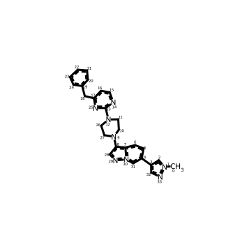 Cn1cc(-c2ccc3c(N4CCN(c5nccc(Cc6ccccc6)n5)CC4)cnn3c2)cn1